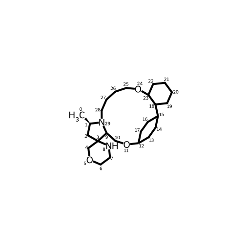 C[C@@H]1CC2(COCCN2)C2COC3CCC(CC3)C3CCCCC3OCCCCN21